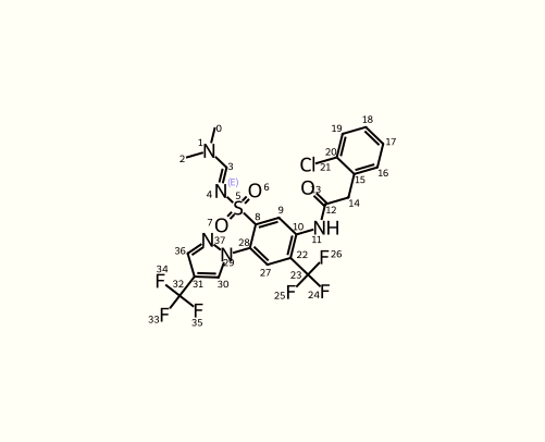 CN(C)/C=N/S(=O)(=O)c1cc(NC(=O)Cc2ccccc2Cl)c(C(F)(F)F)cc1-n1cc(C(F)(F)F)cn1